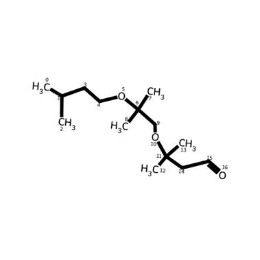 CC(C)CCOC(C)(C)COC(C)(C)CC=O